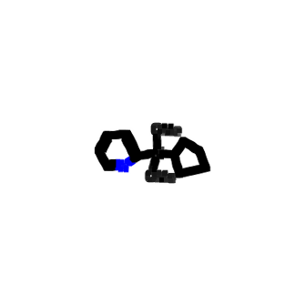 CO[Si](OC)(c1ccccn1)C1CCCC1